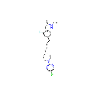 C=C(Cc1ccc(CCCCC2CCN(c3ncc(Cl)cn3)CC2)cc1F)NCC